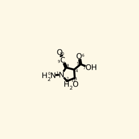 NN1CCC(C(=O)O)C1=C=O.O